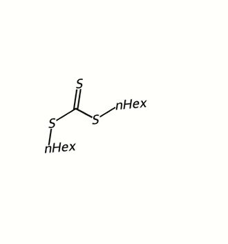 CCCCCCSC(=S)SCCCCCC